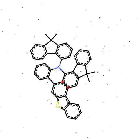 CC1(C)c2ccccc2-c2c(N(c3ccccc3-c3ccc4c(c3)sc3ccccc34)c3cccc4c3-c3ccccc3C4(C)C)cccc21